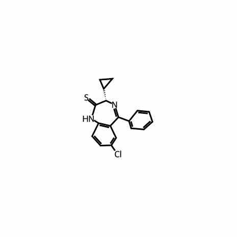 S=C1Nc2ccc(Cl)cc2C(c2ccccc2)=N[C@H]1C1CC1